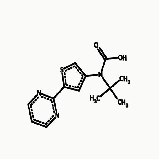 CC(C)(C)N(C(=O)O)c1csc(-c2ncccn2)c1